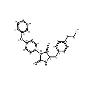 O=C1NC(=Cc2ccc(CCCl)cc2)C(=O)N1c1ccc(Oc2ccccc2)cc1